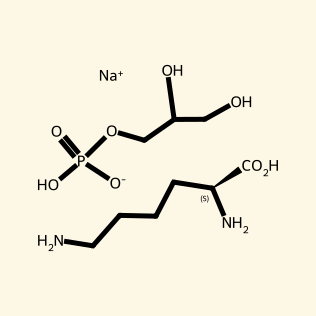 NCCCC[C@H](N)C(=O)O.O=P([O-])(O)OCC(O)CO.[Na+]